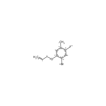 C=CCOc1cc(C)c(F)cc1Br